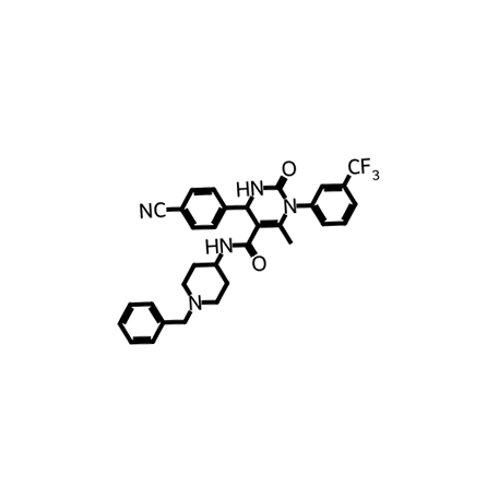 CC1=C(C(=O)NC2CCN(Cc3ccccc3)CC2)C(c2ccc(C#N)cc2)NC(=O)N1c1cccc(C(F)(F)F)c1